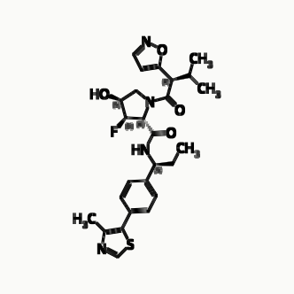 CC[C@H](NC(=O)[C@@H]1[C@@H](F)[C@@H](O)CN1C(=O)[C@@H](c1ccno1)C(C)C)c1ccc(-c2scnc2C)cc1